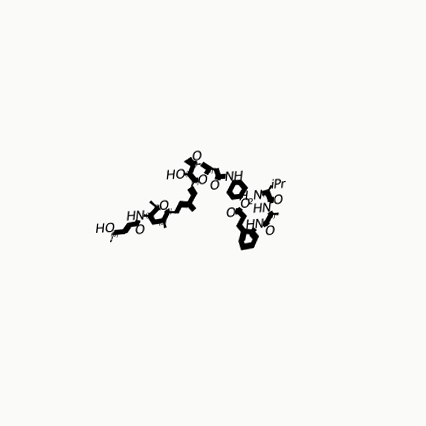 CC(C=C[C@H]1O[C@H](CC(=O)N[C@H]2CC[C@H](OC(=O)CCc3ccccc3NC(=O)[C@H](C)NC(=O)[C@@H](N)C(C)C)CC2)C[C@@]2(CO2)[C@@H]1O)=CC[C@@H]1O[C@H](C)[C@H](NC(=O)C=C[C@H](C)O)C[C@@H]1C